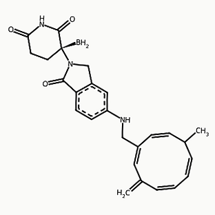 B[C@@]1(N2Cc3cc(NCC4=C/C(=C)/C=C\C=C/C(C)/C=C\4)ccc3C2=O)CCC(=O)NC1=O